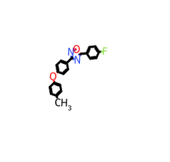 Cc1ccc(Oc2ccc(-c3noc(-c4ccc(F)cc4)n3)cc2)cc1